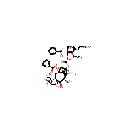 CCCCCCCCCCCCC(C)C(Br)C(C)O[C@@H](C(=O)O[C@H]1C[C@@]2(O)[C@@H](OC(=O)c3ccccc3)[C@@H]3[C@]4(OC(C)=O)CO[C@@H]4C[C@H](O)[C@@]3(C)C(=O)[C@H](OC(C)=O)C(=C1C)C2(C)C)[C@@H](NC(=O)c1ccccc1)c1ccccc1